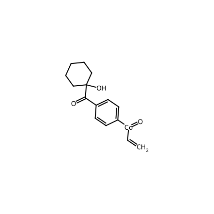 C=[CH][Co](=[O])[c]1ccc(C(=O)C2(O)CCCCC2)cc1